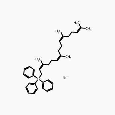 CC(C)=CCCC(C)=CCCC(C)=CCCC(C)=CC[P+](c1ccccc1)(c1ccccc1)c1ccccc1.[Br-]